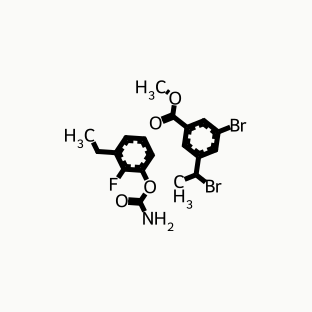 CCc1cccc(OC(N)=O)c1F.COC(=O)c1cc(Br)cc(C(C)Br)c1